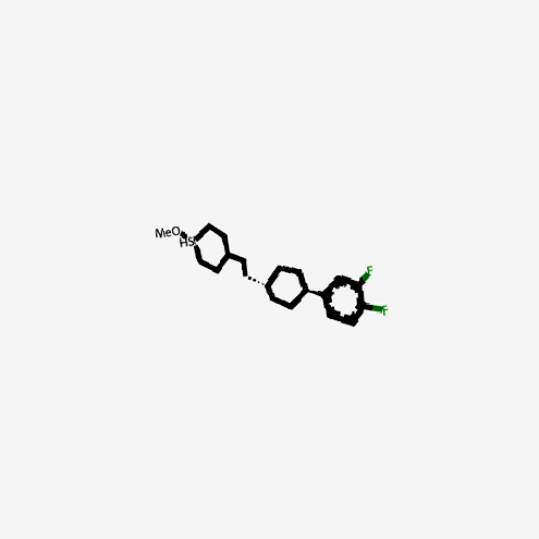 CO[SiH]1CCC(CC[C@H]2CC[C@H](c3ccc(F)c(F)c3)CC2)CC1